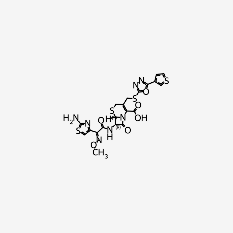 CON=C(C(=O)N[C@@H]1C(=O)N2C(C(=O)O)=C(CSc3nnc(-c4ccsc4)o3)CS[C@@H]12)c1csc(N)n1